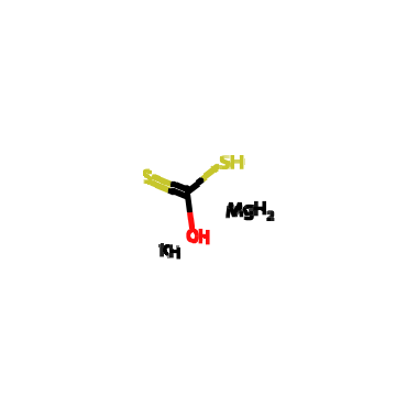 OC(=S)S.[KH].[MgH2]